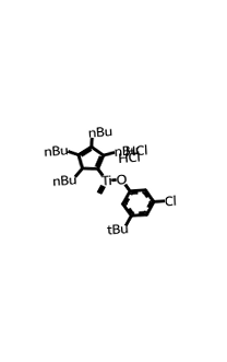 Cl.Cl.[CH2]=[Ti]([O]c1cc(Cl)cc(C(C)(C)C)c1)[C]1=C(CCCC)C(CCCC)=C(CCCC)C1CCCC